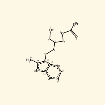 CCCC(=O)OCC(CO)CCn1c(N)nc2cncnc21